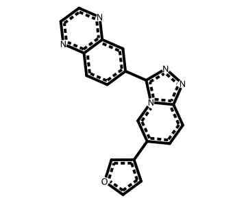 c1cnc2cc(-c3nnc4ccc(-c5ccoc5)cn34)ccc2n1